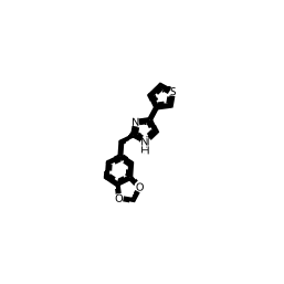 c1cc(-c2c[nH]c(Cc3ccc4c(c3)OCO4)n2)cs1